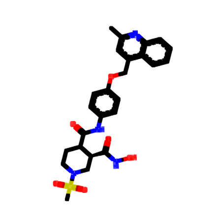 Cc1cc(COc2ccc(NC(=O)C3CCN(S(C)(=O)=O)C[C@@H]3C(=O)NO)cc2)c2ccccc2n1